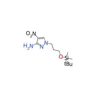 CC(C)(C)[Si](C)(C)OCCCn1cc([N+](=O)[O-])c(N)n1